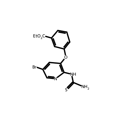 CCOC(=O)c1cccc(Oc2cc(Br)cnc2NC(N)=S)c1